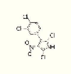 O=[N+]([O-])c1c(Cl)[nH]c(Cl)c1-c1ccc(Cl)c(Cl)c1